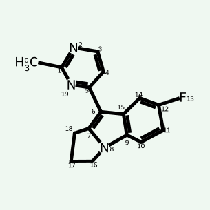 Cc1nccc(-c2c3n(c4ccc(F)cc24)CCC3)n1